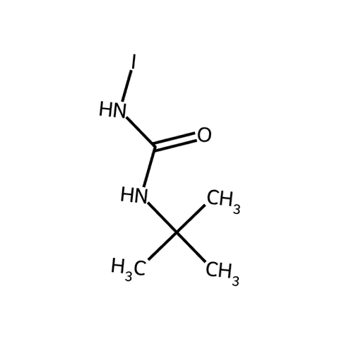 CC(C)(C)NC(=O)NI